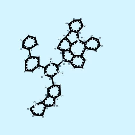 c1ccc(-c2cccc(-c3nc(-c4ccc5sc6ccccc6c5c4)nc(-n4c5cccc6c7ccccc7n7c8ccccc8c8ccc4c(c65)c87)n3)c2)cc1